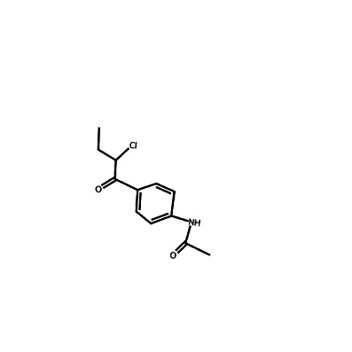 CCC(Cl)C(=O)c1ccc(NC(C)=O)cc1